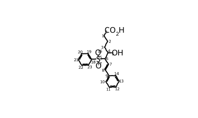 O=C(O)CCCC(O)C(C=Cc1ccccc1)S(=O)(=O)c1ccccc1